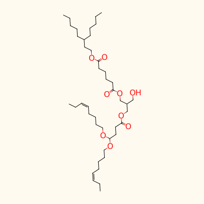 CC/C=C\CCCCOC(CCC(=O)OCC(CO)COC(=O)CCCCC(=O)OCCC(CCCCC)CCCCC)OCCCC/C=C\CC